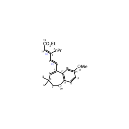 CCCC(/C=C/C1=CC(C)(C)COc2ccc(OC)cc21)=C\C(=O)OCC